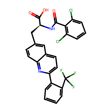 O=C(N[C@@H](Cc1ccc2nc(-c3ccccc3C(F)(F)F)ccc2c1)C(=O)O)c1c(Cl)cccc1Cl